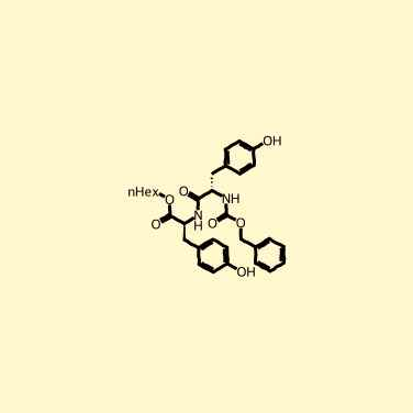 CCCCCCOC(=O)[C@H](Cc1ccc(O)cc1)NC(=O)[C@H](Cc1ccc(O)cc1)NC(=O)OCc1ccccc1